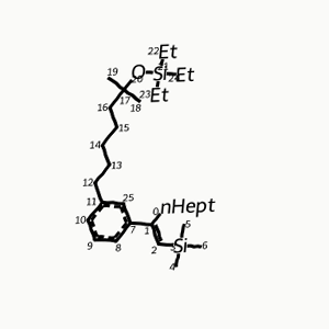 CCCCCCC/C(=C\[Si](C)(C)C)c1cccc(CCCCCC(C)(C)O[Si](CC)(CC)CC)c1